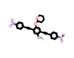 Cc1cc(C#Cc2ccc([N+](=O)[O-])cc2)c(OC2CCCCO2)cc1C#Cc1ccc([N+](=O)[O-])cc1